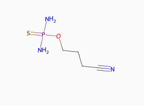 N#CCCCOP(N)(N)=S